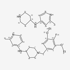 CCOc1cc(CN2CCC(Nc3ccnc(C)c3)CC2)cc(OCC)c1F.Cc1cc(NC2CCNCC2)ccn1